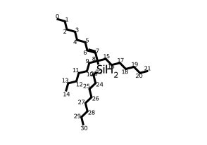 CCCCCCC=CC(CCCCCC)(CCCCCCC)[SiH2]CCCCCCCC